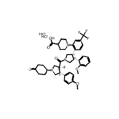 COc1ccc([C@@H]2CN(C3CCC(=O)CC3)C[C@@]2(F)C(=O)N2C[C@H](c3ccc(C(F)(F)F)cc3N3CCC(C(=O)O)CC3)[C@H](c3ccccc3OC)C2)cc1.Cl.Cl